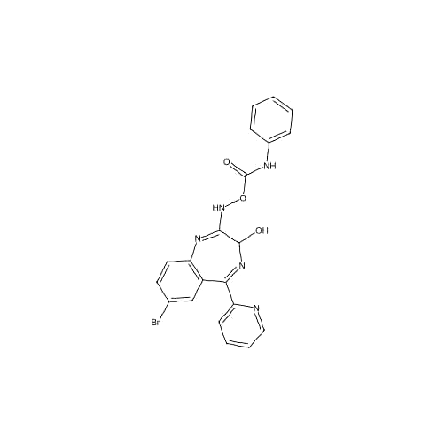 O=C(Nc1ccccc1)ONC1=Nc2ccc(Br)cc2C(c2ccccn2)=NC1O